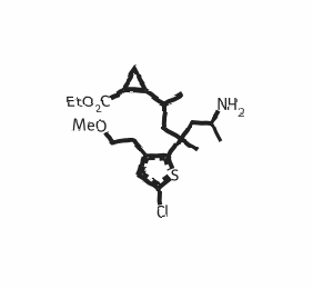 CCOC(=O)C1CC1C(C)CC(C)(CC(C)N)c1sc(Cl)cc1CCOC